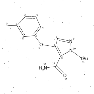 Cc1cccc(Oc2cnn(C(C)(C)C)c2C(N)=O)c1